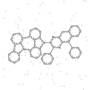 c1ccc(-c2nc3c(-c4ccccc4)c4ccccc4cc3nc2-n2c3cccc4c5cccc6c7ccccc7n(c7cccc2c7c43)c56)cc1